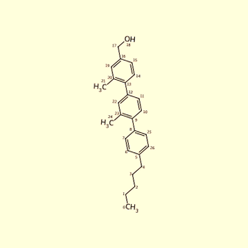 CCCCCc1ccc(-c2ccc(-c3ccc(CO)cc3C)cc2C)cc1